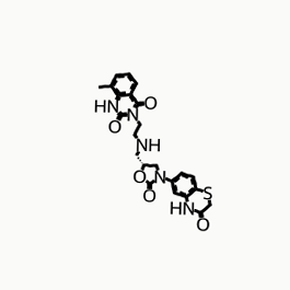 Cc1cccc2c(=O)n(CCNC[C@@H]3CN(c4ccc5c(c4)NC(=O)CS5)C(=O)O3)c(=O)[nH]c12